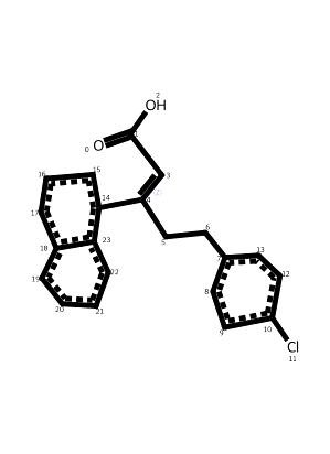 O=C(O)/C=C(/CCc1ccc(Cl)cc1)c1cccc2ccccc12